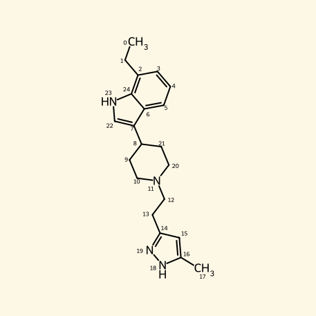 CCc1cccc2c(C3CCN(CCc4cc(C)[nH]n4)CC3)c[nH]c12